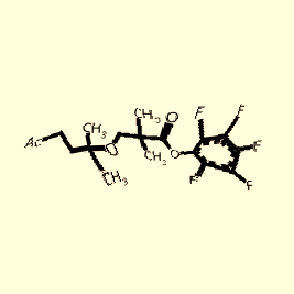 CC(=O)CCC(C)(C)OCC(C)(C)C(=O)Oc1c(F)c(F)c(F)c(F)c1F